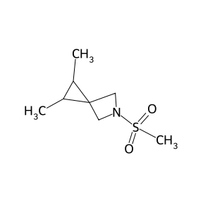 CC1C(C)C12CN(S(C)(=O)=O)C2